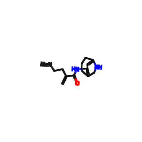 C=C(CCNC)C(=O)NC1=C2CCCC(=C1)NC2